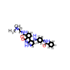 CN(C)CCNC(=O)c1cccc2c1c(=O)[nH]c1nccc(Nc3ccc(NC(=O)c4ccccc4)cc3)c12